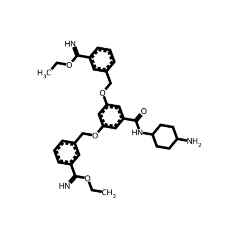 CCOC(=N)c1cccc(COc2cc(OCc3cccc(C(=N)OCC)c3)cc(C(=O)NC3CCC(N)CC3)c2)c1